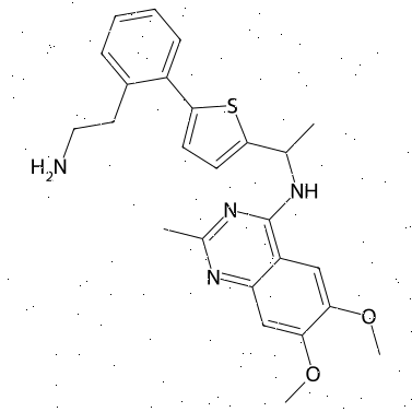 COc1cc2nc(C)nc(NC(C)c3ccc(-c4ccccc4CCN)s3)c2cc1OC